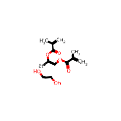 C=C(C)C(=O)OCC(CC)OC(=O)C(=C)C.OCCO